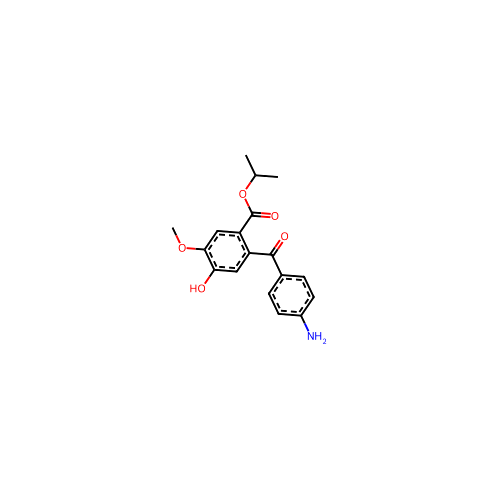 COc1cc(C(=O)OC(C)C)c(C(=O)c2ccc(N)cc2)cc1O